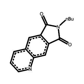 CCCCN1C(=O)c2cc3cccnc3cc2C1=O